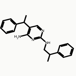 CC(CNc1ncc(C(C)c2ccccc2)c(N)n1)c1ccccc1